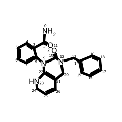 NC(=O)c1ccccc1N1C(=O)N(Cc2ccccc2)CC2=C1NCC=C2